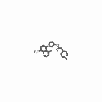 Cc1ccnc2c(C(F)(F)F)ccc(N3CCC(NC(=O)CC4CCN(C)CC4)C3)c12